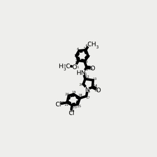 COc1ccc(C)cc1C(=O)NC1CC(=O)N(Cc2ccc(Cl)c(Cl)c2)C1